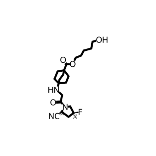 N#C[C@@H]1C[C@H](F)CN1C(=O)CNC12CCC(C(=O)OCCCCCO)(CC1)CC2